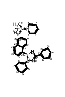 CN(C)N1C=CC=CC1.[Cl-].c1ccc(-c2nn(-c3ccccc3)[n+](-c3cccc4ccccc34)n2)cc1